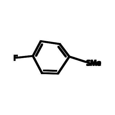 [CH2]Sc1ccc(F)cc1